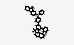 CC1(C)c2ccccc2-c2ccc(N(c3ccccc3)c3ccc(-c4cc5c6c(c4)C(C)(C)c4ccc7ccc8oc9cccc-5c9c8c7c4-6)cc3)cc21